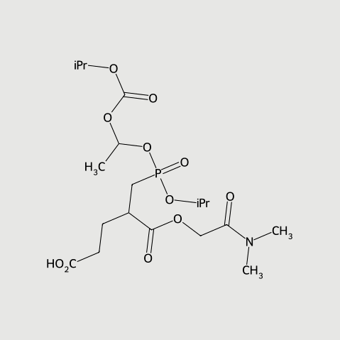 CC(C)OC(=O)OC(C)OP(=O)(CC(CCC(=O)O)C(=O)OCC(=O)N(C)C)OC(C)C